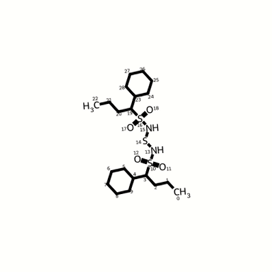 CCCC(C1CCCCC1)S(=O)(=O)NSNS(=O)(=O)C(CCC)C1CCCCC1